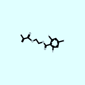 C=C(C)C(=O)OCCOC(=O)c1c(I)cc(I)cc1I